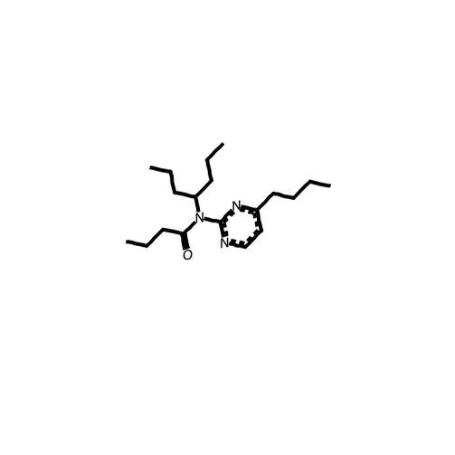 CCCCc1ccnc(N(C(=O)CCC)C(CCC)CCC)n1